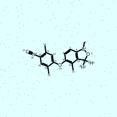 [2H]C1([2H])OB(C)c2ccc(Oc3cc(C)c([N+]#[C-])cc3C)c(C)c21